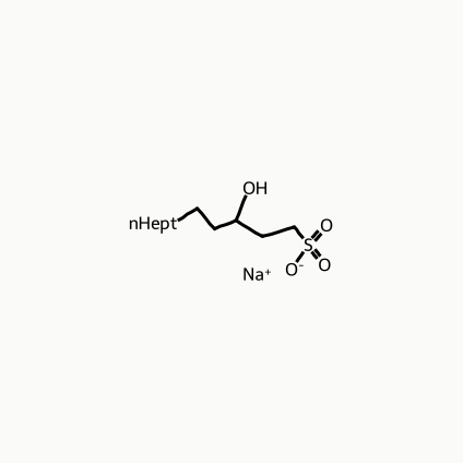 CCCCCCCCCC(O)CCS(=O)(=O)[O-].[Na+]